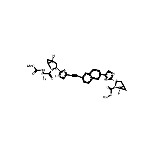 COC(=O)N[C@H](C(=O)N1C2C[C@@H]2C[C@H]1c1nc(C#Cc2ccc3cc(-c4cnc([C@@H]5CC6C[C@H]6N5C(=O)OC(C)(C)C)[nH]4)ccc3c2)c[nH]1)C(C)C